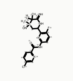 CC1(C)C(=N)NC(c2nc(NC(=O)c3ccc(Cl)cn3)ccc2F)CS1(C)N=O